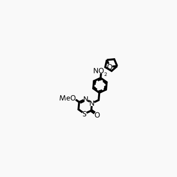 C1CC2CC1O2.COC1=NN(Cc2ccc([N+](=O)[O-])cc2)C(=O)SC1